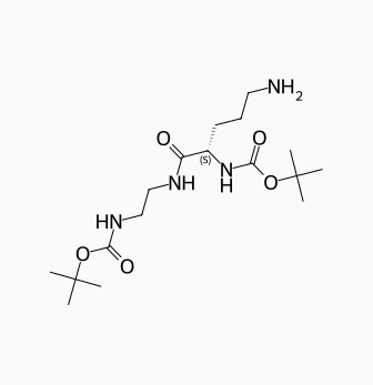 CC(C)(C)OC(=O)NCCNC(=O)[C@H](CCCN)NC(=O)OC(C)(C)C